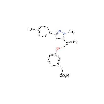 C[C@@H](COc1cccc(CC(=O)O)c1)c1cc(-c2ccc(C(F)(F)F)cc2)nn1C